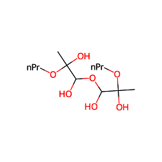 CCCOC(C)(O)C(O)OC(O)C(C)(O)OCCC